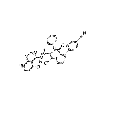 C[C@H](Nc1ncnc2[nH]ccc(=O)c12)c1c(Cl)c2cccc(-c3ccc(C#N)cn3)c2c(=O)n1-c1ccccc1